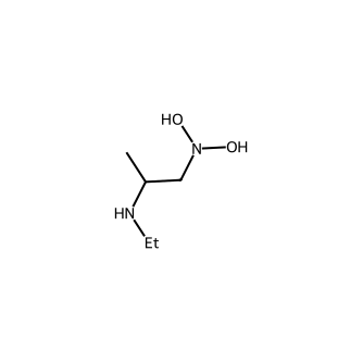 CCNC(C)CN(O)O